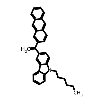 C=C(c1ccc2cc3ccccc3cc2c1)c1ccc2c(c1)c1ccccc1n2CCCCCC